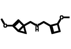 COC1=CC2(CNCC3=CCC3OC)CC12